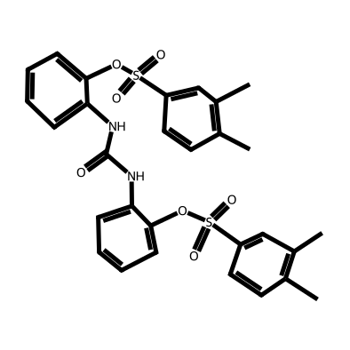 Cc1ccc(S(=O)(=O)Oc2ccccc2NC(=O)Nc2ccccc2OS(=O)(=O)c2ccc(C)c(C)c2)cc1C